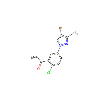 COC(=O)c1cc(-n2cc(Br)c(C(F)(F)F)n2)ccc1Cl